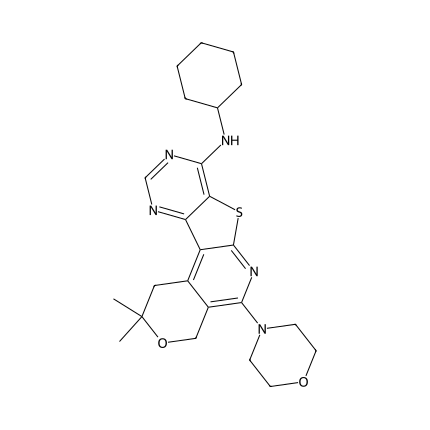 CC1(C)Cc2c(c(N3CCOCC3)nc3sc4c(NC5CCCCC5)ncnc4c23)CO1